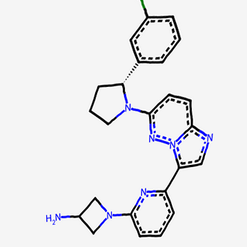 NC1CN(c2cccc(-c3cnc4ccc(N5CCC[C@@H]5c5cccc(F)c5)nn34)n2)C1